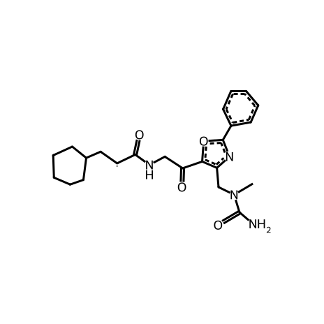 CN(Cc1nc(-c2ccccc2)oc1C(=O)CNC(=O)[CH]CC1CCCCC1)C(N)=O